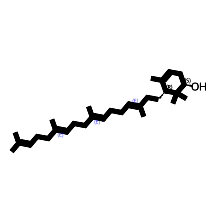 CC(C)=CCC/C(C)=C/CC/C(C)=C/CC/C=C(\C)CC[C@@H]1C(C)=CC[C@H](O)C1(C)C